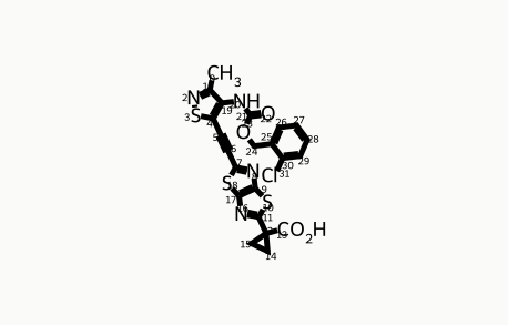 Cc1nsc(C#Cc2nc3sc(C4(C(=O)O)CC4)nc3s2)c1NC(=O)OCc1ccccc1Cl